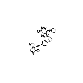 CN1CC[C@@](O)(C#Cc2ccc3c(c2)-c2nc(C(N)=O)c(CN4CCCC4)n2C2CC3C2)C1=O